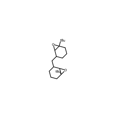 CC(C)(C)C12CCCC(CC3CCCC4(C(C)(C)C)OC34)C1O2